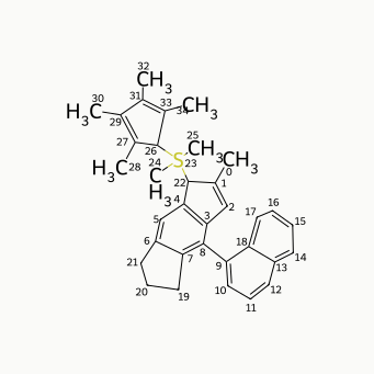 CC1=Cc2c(cc3c(c2-c2cccc4ccccc24)CCC3)C1S(C)(C)C1C(C)=C(C)C(C)=C1C